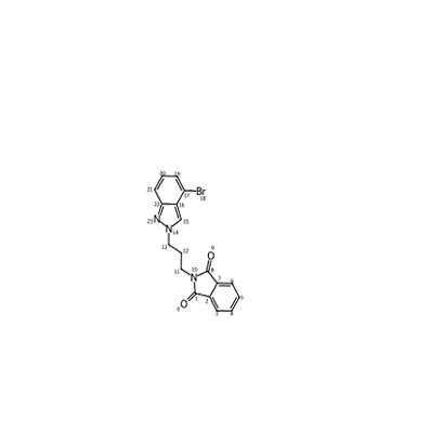 O=C1c2ccccc2C(=O)N1CCCn1cc2c(Br)cccc2n1